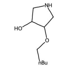 CCCCCOC1CNCC1O